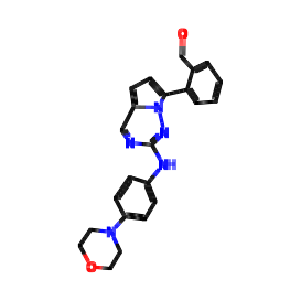 O=Cc1ccccc1-c1ccc2cnc(Nc3ccc(N4CCOCC4)cc3)nn12